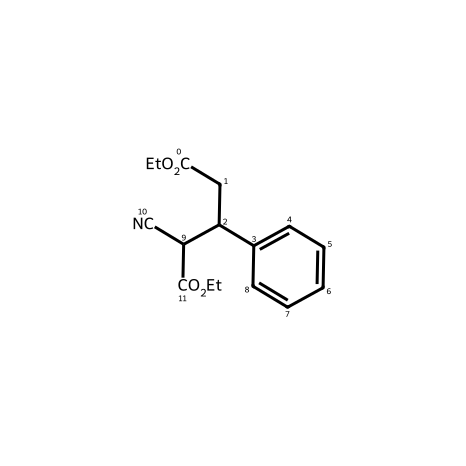 CCOC(=O)CC(c1ccccc1)C(C#N)C(=O)OCC